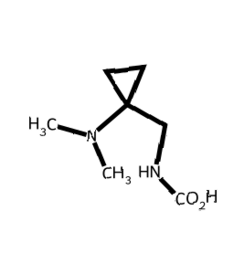 CN(C)C1(CNC(=O)O)CC1